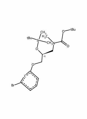 CN(C[C@@H](COc1cccc(Br)c1)O[Si](C)(C)C(C)(C)C)C(=O)OC(C)(C)C